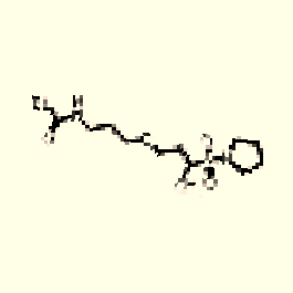 CCC(=O)NCCCOCCC(C)S(=O)(=O)N1CCCC1